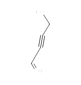 C=CC#CCO